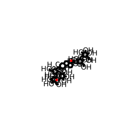 C=C1CC2CC[C@H]3C(CCC[C@@]3(C)C(=O)OC3OC(CO)C(O)C(OC4OC(CO)C(O)C(O)C4O)C3O)[C@@H]2CCC1(S)CC1OC(CO)C(O)C(OC2OC(CO)C(O)C(O)C2O)C1OC1OC(CO)C(O)C(O)C1O